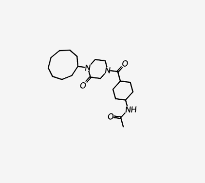 CC(=O)NC1CCC(C(=O)N2CCN(C3CCCCCCCC3)C(=O)C2)CC1